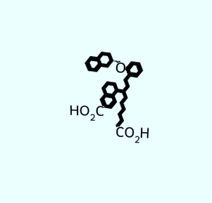 O=C(O)CCCCCCC(CCc1ccccc1OC[C@H]1CCc2ccccc2C1)C1CCCc2cc(C(=O)O)ccc21